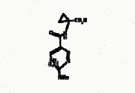 C=C(/N=C\C(=C/N)C(=O)NC1(C(=O)O)CC1)NC